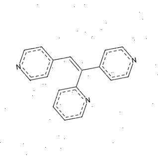 C(=C(c1ccncc1)c1ccccn1)c1ccncc1